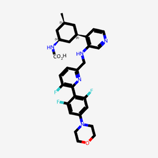 C[C@@H]1C[C@H](NC(=O)O)C[C@H](c2ccncc2NCc2ccc(F)c(-c3c(F)cc(N4CCOCC4)cc3F)n2)C1